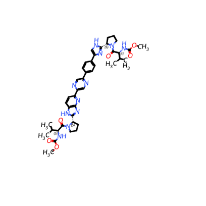 COC(=O)N[C@H](C(=O)N1CCC[C@H]1c1nc(-c2ccc(-c3cnc(-c4ccc5[nH]c([C@@H]6CCCN6C(=O)[C@@H](NC(=O)OC)C(C)C)nc5n4)cn3)cc2)c[nH]1)C(C)C